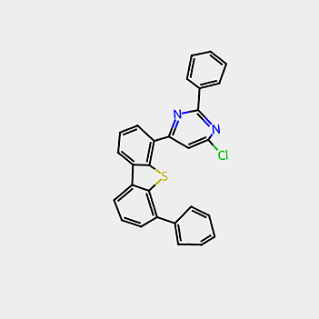 Clc1cc(-c2cccc3c2sc2c(-c4ccccc4)cccc23)nc(-c2ccccc2)n1